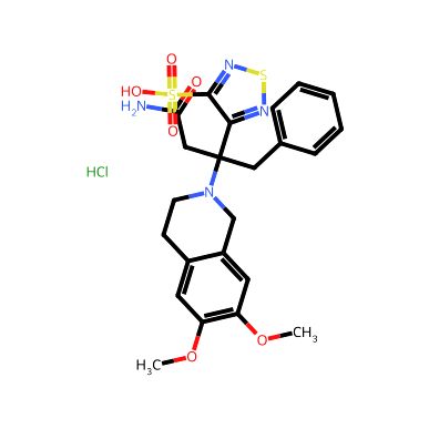 COc1cc2c(cc1OC)CN(C(CC(N)=O)(Cc1ccccc1)c1nsnc1S(=O)(=O)O)CC2.Cl